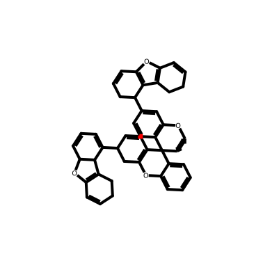 C1=CC2OC3=C(CCC=C3)C2C(C2C=CC3=C(C2)Oc2ccccc2C32c3ccccc3Oc3cc(C4CC=Cc5oc6c(c54)CCC=C6)ccc32)=C1